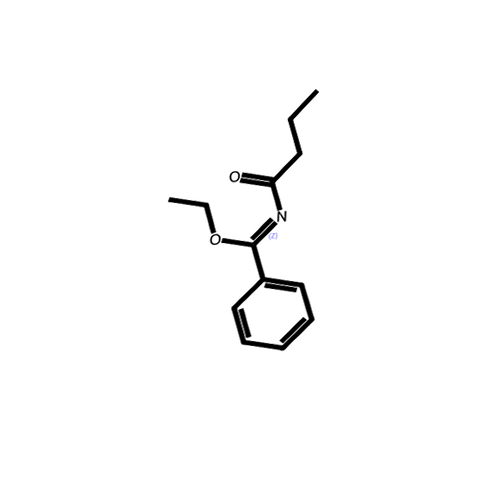 CCCC(=O)/N=C(\OCC)c1ccccc1